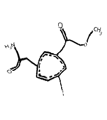 COC(=O)c1cc(I)cc(C(N)=O)c1